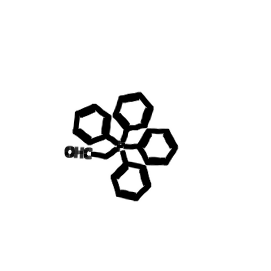 O=CCP(c1ccccc1)(c1ccccc1)(c1ccccc1)c1ccccc1